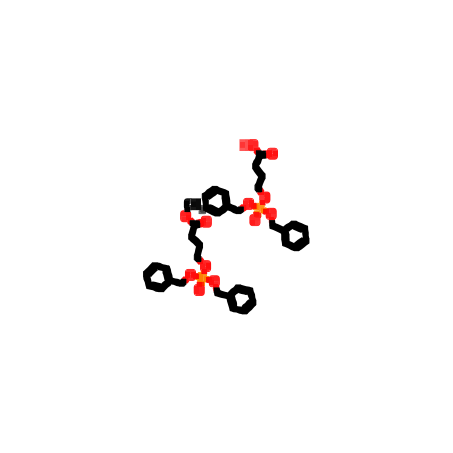 COC(=O)CCCOP(=O)(OCc1ccccc1)OCc1ccccc1.O=C(O)CCCOP(=O)(OCc1ccccc1)OCc1ccccc1